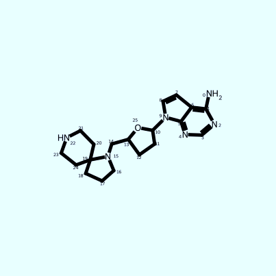 Nc1ncnc2c1ccn2C1CCC(CN2CCCC23CCNCC3)O1